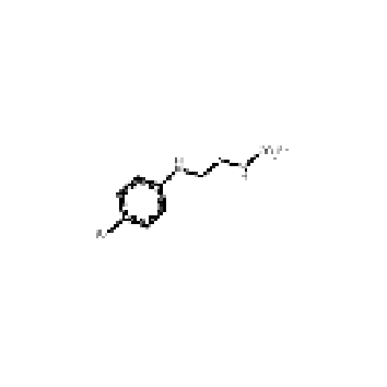 CCOC(=O)NSCNc1ccc(Br)cc1